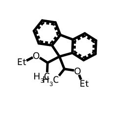 CCOC(C)C1(C(C)OCC)c2ccccc2-c2ccccc21